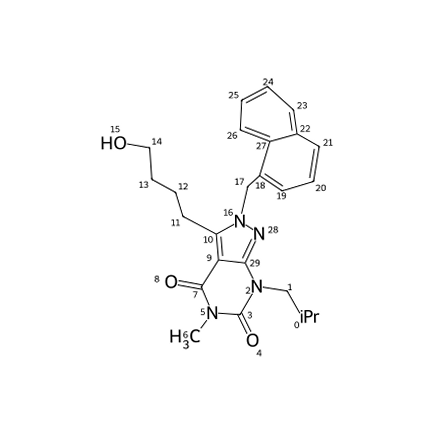 CC(C)Cn1c(=O)n(C)c(=O)c2c(CCCCO)n(Cc3cccc4ccccc34)nc21